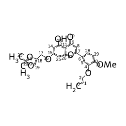 C=CCOc1cc(-c2cc(=O)c3c(O)cc(OCC4=COC(C)(C)O4)cc3o2)ccc1OC